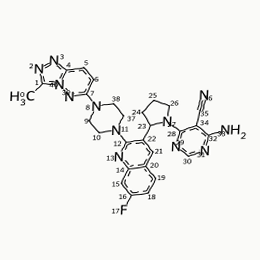 Cc1nnc2ccc(N3CCN(c4nc5cc(F)ccc5cc4C4CCCN4c4ncnc(N)c4C#N)CC3)nn12